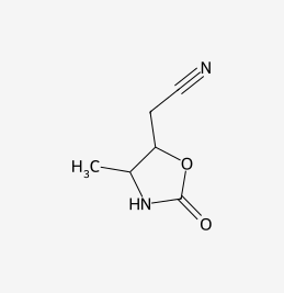 CC1NC(=O)OC1CC#N